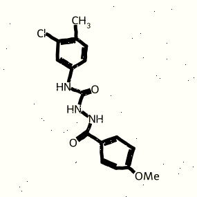 COc1ccc(C(=O)NNC(=O)Nc2ccc(C)c(Cl)c2)cc1